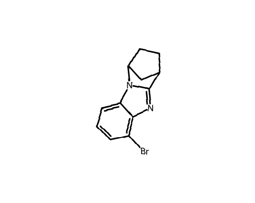 Brc1cccc2c1nc1n2C2CCC1C2